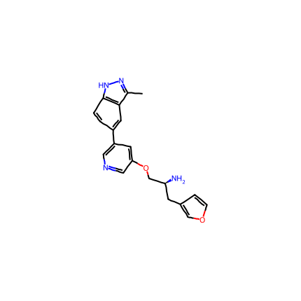 Cc1n[nH]c2ccc(-c3cncc(OC[C@@H](N)Cc4ccoc4)c3)cc12